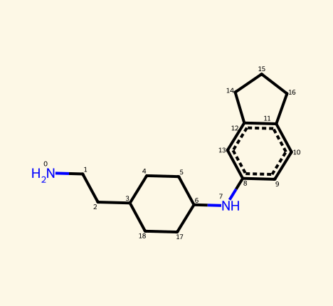 NCCC1CCC(Nc2ccc3c(c2)CCC3)CC1